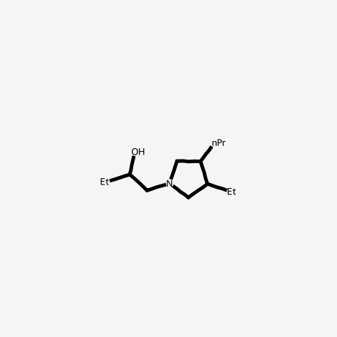 CCCC1CN(CC(O)CC)CC1CC